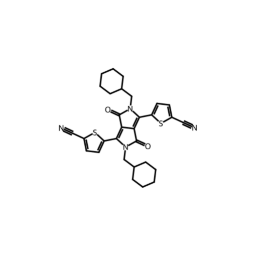 N#Cc1ccc(C2=C3C(=O)N(CC4CCCCC4)C(c4ccc(C#N)s4)=C3C(=O)N2CC2CCCCC2)s1